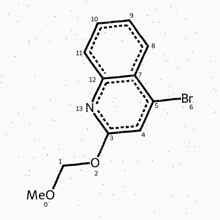 COCOc1cc(Br)c2ccccc2n1